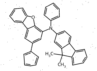 CC1(C)c2ccccc2-c2ccc(N(c3ccccc3)c3cc(-c4ccccc4)cc4c3oc3ccccc34)cc21